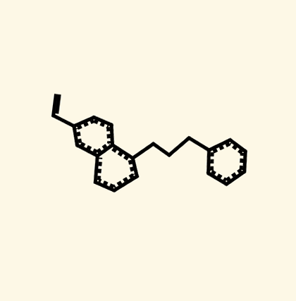 C=Cc1ccc2c(CCCc3ccccc3)cccc2c1